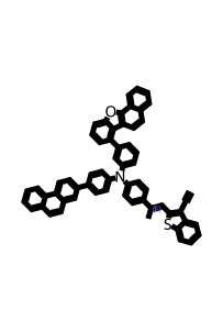 C#Cc1c(/C=C(\C)c2ccc(N(c3ccc(-c4ccc5c(ccc6ccccc65)c4)cc3)c3cccc(-c4cccc5oc6c7ccccc7ccc6c45)c3)cc2)sc2ccccc12